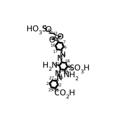 Nc1c(/N=N/c2ccc(S(=O)(=O)CCOS(=O)(=O)O)cc2)cc(S(=O)(=O)O)c(N)c1/N=N/c1cccc(C(=O)O)c1